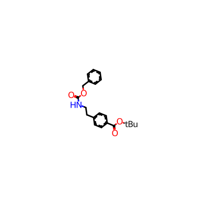 CC(C)(C)OC(=O)c1ccc(CCNC(=O)OCc2ccccc2)cc1